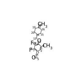 Cc1cc(C2CO2)c(F)c(F)c1OCC1CCC(C)CC1